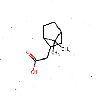 CC1(C)C2CCC1C(CC(=O)O)C2